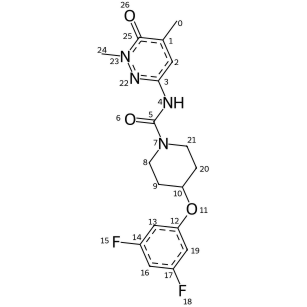 Cc1cc(NC(=O)N2CCC(Oc3cc(F)cc(F)c3)CC2)nn(C)c1=O